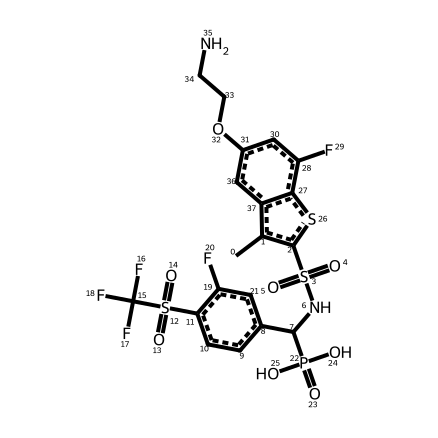 Cc1c(S(=O)(=O)NC(c2ccc(S(=O)(=O)C(F)(F)F)c(F)c2)P(=O)(O)O)sc2c(F)cc(OCCN)cc12